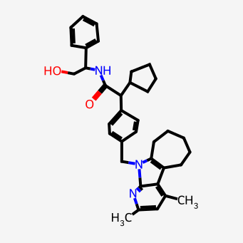 Cc1cc(C)c2c3c(n(Cc4ccc(C(C(=O)NC(CO)c5ccccc5)C5CCCC5)cc4)c2n1)CCCCC3